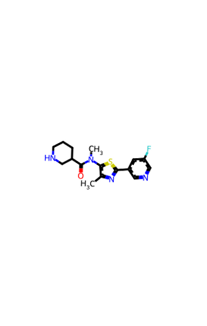 Cc1nc(-c2cncc(F)c2)sc1N(C)C(=O)C1CCCNC1